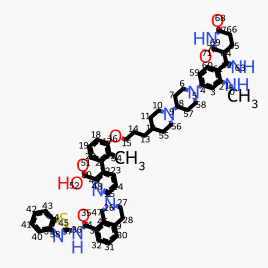 CNc1cc(N2CCC(N3CCC(CCCOc4cccc(-c5ccc(N6CCc7cccc(C(=O)Nc8nc9ccccc9s8)c7C6)nc5C(=O)O)c4C)CC3)CC2)ccc1C(=N)C1CCC(=O)NC1=O